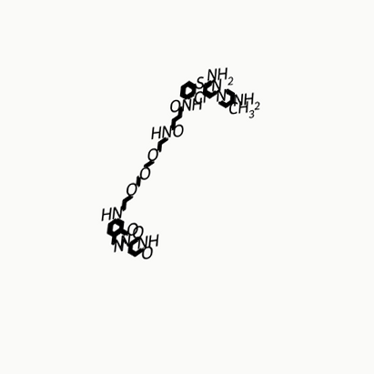 CC1(N)CCN(c2ccc(Sc3cccc(NC(=O)CCC(=O)NCCCOCCOCCOCCCNc4ccc5cnn(C6CCC(=O)NC6=O)c(=O)c5c4)c3Cl)c(N)n2)CC1